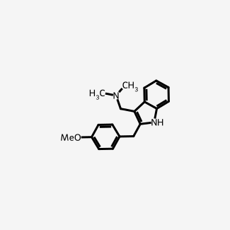 COc1ccc(Cc2[nH]c3ccccc3c2CN(C)C)cc1